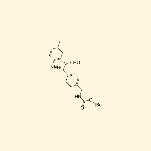 CNc1ccc(C)cc1N(C=O)Cc1ccc(CNC(=O)OC(C)(C)C)cc1